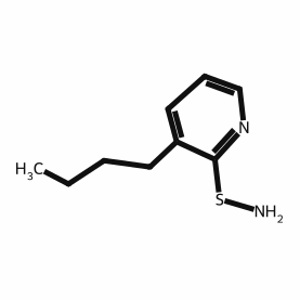 CCCCc1cccnc1SN